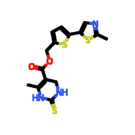 CC1=C(C(=O)OCc2ccc(-c3cnc(C)s3)s2)CNC(=S)N1